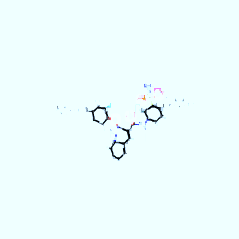 COc1ccc(Oc2nc3ccccc3cc2C(=O)Nc2ccc(OC)c(S(N)(=O)=O)c2F)c(F)c1